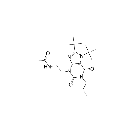 CCCn1c(=O)c2c(nc(C(C)(C)C)n2C(C)(C)C)n(CCNC(C)=O)c1=O